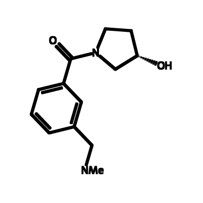 CNCc1cccc(C(=O)N2CC[C@H](O)C2)c1